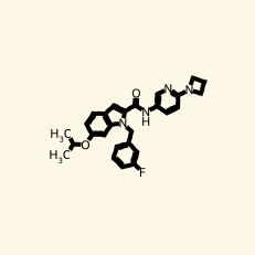 CC(C)Oc1ccc2cc(C(=O)Nc3ccc(N4CCC4)nc3)n(Cc3cccc(F)c3)c2c1